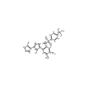 Cc1ocnc1-c1nnc(-c2cc(Cl)c(F)cc2NS(=O)(=O)c2ccc(C(C)(C)C)cc2)n1C